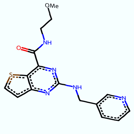 COCCNC(=O)c1nc(NCc2cccnc2)nc2ccsc12